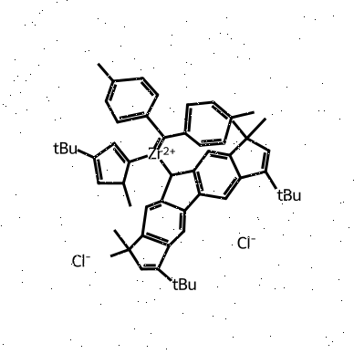 Cc1ccc([C](c2ccc(C)cc2)=[Zr+2]([C]2=CC(C(C)(C)C)=CC2C)[CH]2c3cc4c(cc3-c3cc5c(cc32)C(C)(C)C=C5C(C)(C)C)C(C(C)(C)C)=CC4(C)C)cc1.[Cl-].[Cl-]